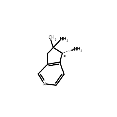 CC1(N)Cc2cnccc2[C@H]1N